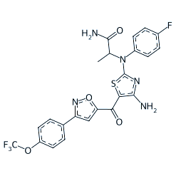 CC(C(N)=O)N(c1ccc(F)cc1)c1nc(N)c(C(=O)c2cc(-c3ccc(OC(F)(F)F)cc3)no2)s1